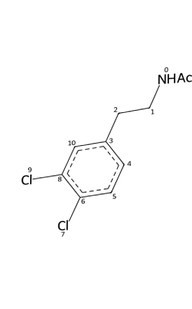 CC(=O)NCCc1ccc(Cl)c(Cl)c1